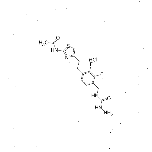 CC(=O)Nc1nc(CCc2ccc(CNC(=O)NN)c(F)c2F)cs1.Cl